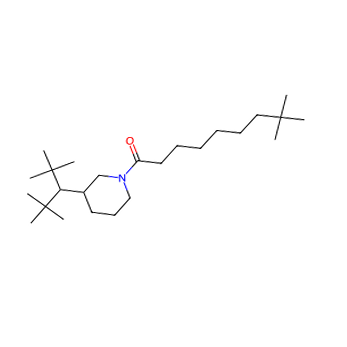 CC(C)(C)CCCCCCC(=O)N1CCCC(C(C(C)(C)C)C(C)(C)C)C1